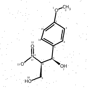 COc1ccc([C@@H](O)[C@@H](CO)[N+](=O)[O-])cc1